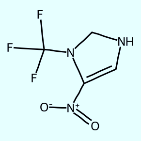 O=[N+]([O-])C1=CNCN1C(F)(F)F